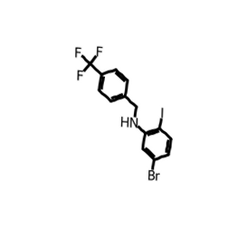 FC(F)(F)c1ccc(CNc2cc(Br)ccc2I)cc1